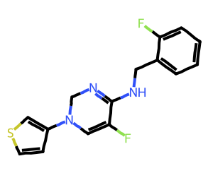 FC1=CN(c2ccsc2)CN=C1NCc1ccccc1F